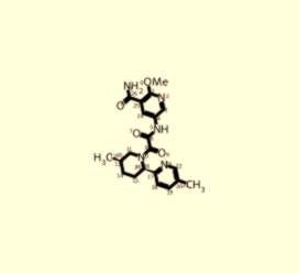 COc1ncc(NC(=O)C(=O)N2C[C@H](C)CC[C@@H]2c2ccc(C)cn2)cc1C(N)=O